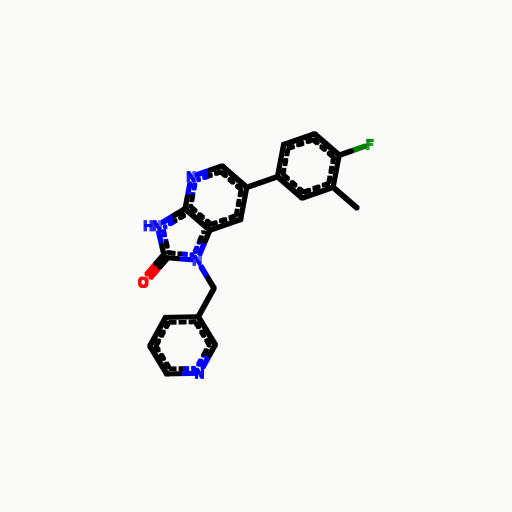 Cc1cc(-c2cnc3[nH]c(=O)n(Cc4cccnc4)c3c2)ccc1F